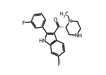 CN1CCNC[C@@H]1C(=O)c1c(-c2cccc(F)c2)[nH]c2cc(F)ccc12